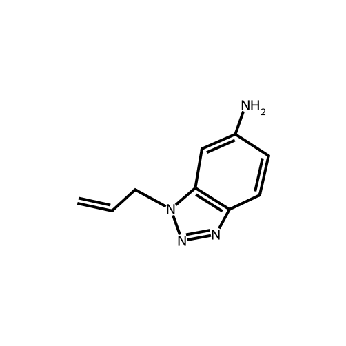 C=CCn1nnc2ccc(N)cc21